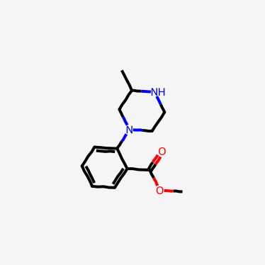 COC(=O)c1ccccc1N1CCNC(C)C1